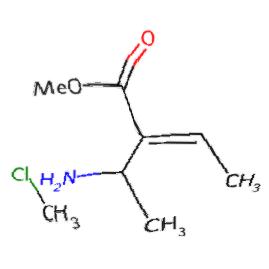 CC=C(C(=O)OC)C(C)N.CCl